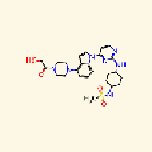 CS(=O)(=O)N[C@H]1CC[C@H](Nc2nccc(-n3ccc4c(N5CCN(C(=O)CO)CC5)cccc43)n2)CC1